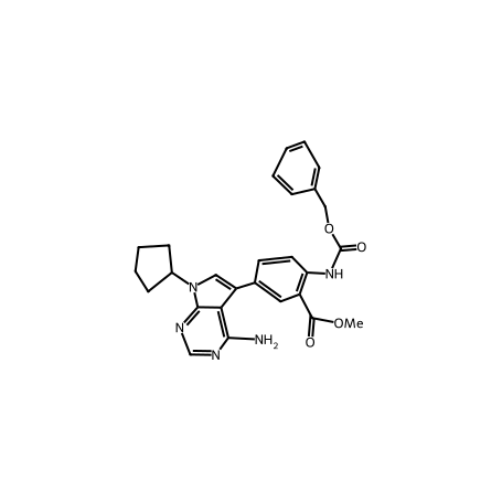 COC(=O)c1cc(-c2cn(C3CCCC3)c3ncnc(N)c23)ccc1NC(=O)OCc1ccccc1